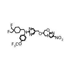 O=[N+]([O-])c1cn2c(n1)OC[C@@H](OCc1cnc(N(CC3CCC(CF)(CF)CC3)c3ccc(OC(F)(F)F)cc3)nc1)C2